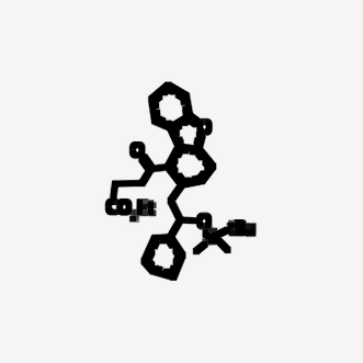 CCOC(=O)CCC(=O)c1c(CC(O[Si](C)(C)C(C)(C)C)c2ccccc2)ccc2oc3ccccc3c12